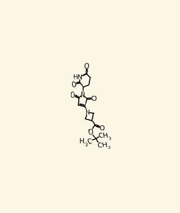 CC(C)(C)OC(=O)C1CN(C2=CC(=O)N(C3CCC(=O)NC3=O)C2=O)C1